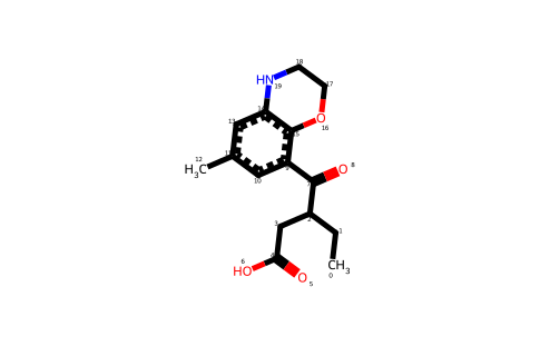 CCC(CC(=O)O)C(=O)c1cc(C)cc2c1OCCN2